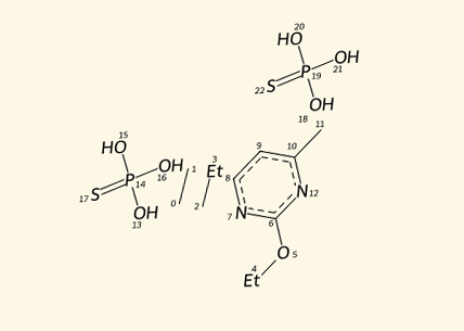 CC.CCC.CCOc1nccc(C)n1.OP(O)(O)=S.OP(O)(O)=S